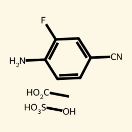 CC(=O)O.N#Cc1ccc(N)c(F)c1.O=S(=O)(O)O